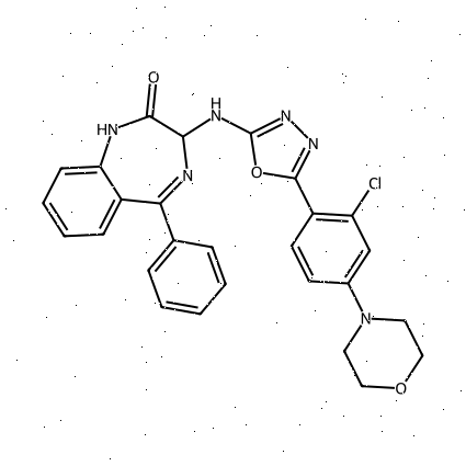 O=C1Nc2ccccc2C(c2ccccc2)=NC1Nc1nnc(-c2ccc(N3CCOCC3)cc2Cl)o1